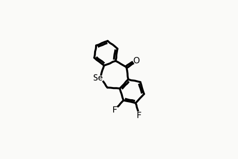 O=C1c2ccccc2[Se]Cc2c1ccc(F)c2F